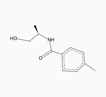 Cc1ccc(C(=O)N[C@H](C)CO)cc1